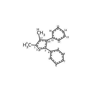 Cc1sc(-c2ccccc2)c(-c2ccccc2)c1C